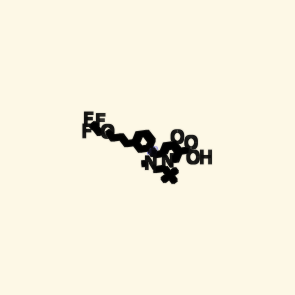 CN1CC(C(C)(C)C)n2cc(C(=O)O)c(=O)cc2/C1=C1\C=CC=C(CCCOCC(F)(F)F)C1